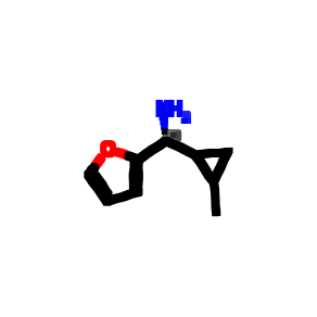 CC1CC1[C@@H](N)c1ccco1